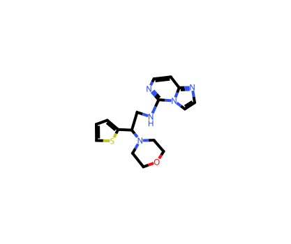 c1csc(C(CNc2nccc3nccn23)N2CCOCC2)c1